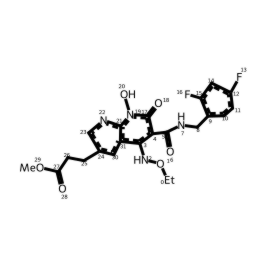 CCONc1c(C(=O)NCc2ccc(F)cc2F)c(=O)n(O)c2ncc(CCC(=O)OC)cc12